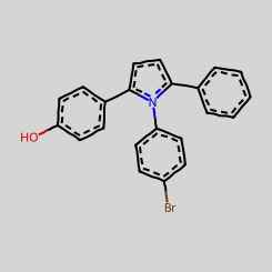 Oc1ccc(-c2ccc(-c3ccccc3)n2-c2ccc(Br)cc2)cc1